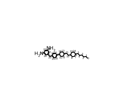 CCCCCCC1CCC(CCC2CCC(c3ccc(Cc4cc(N)cc(N)c4)cc3)CC2)CC1